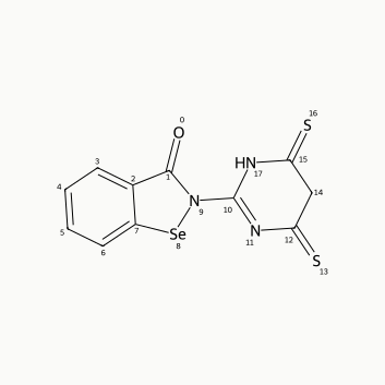 O=c1c2ccccc2[se]n1C1=NC(=S)CC(=S)N1